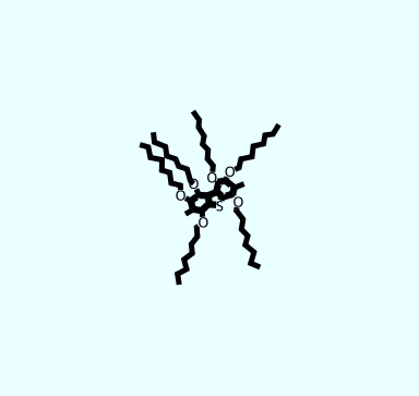 CCCCCCCCOc1c(C)c(OCCCCCCCC)c2sc3c(OCCCCCCCC)c(C)c(OCCCCCCCC)c(OCCCCCCCC)c3c2c1OCCCCCCCC